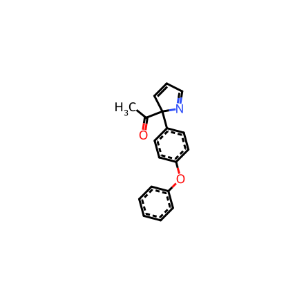 CC(=O)C1(c2ccc(Oc3ccccc3)cc2)C=CC=N1